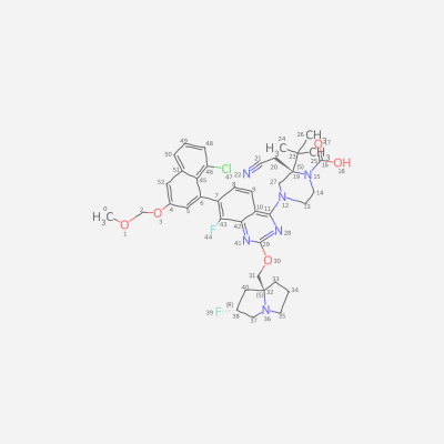 COCOc1cc(-c2ccc3c(N4CCN(C(=O)O)[C@@](CC#N)(C(C)(C)C)C4)nc(OC[C@@]45CCCN4C[C@H](F)C5)nc3c2F)c2c(Cl)cccc2c1